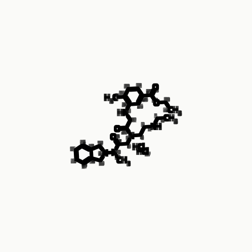 CCNCCN(CC(=O)N(C)N1Cc2ccccc2C1)C(=O)CNc1cc(C(=O)OCC)ccc1C.Cl.Cl